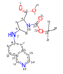 COC(=O)C1CC(Nc2ccc3cnccc3c2)CN1C(=O)OC(C)(C)C